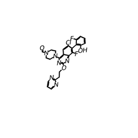 O=CN1CCN(c2nc(OCCc3ncccn3)nc3c(F)c(-c4c(O)cccc4F)c(Cl)cc23)CC1